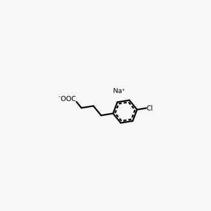 O=C([O-])CCCc1ccc(Cl)cc1.[Na+]